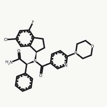 NC(=O)[C@H](c1ccccc1)N(C(=O)c1ccc(N2CCOCC2)nc1)[C@@H]1CCc2c(F)cc(Cl)cc21